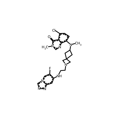 CN(c1ccc(Cl)c2c(=O)n(C)cnc12)C1CC2(C1)CN(CCNc1cc3nncn3cc1F)C2